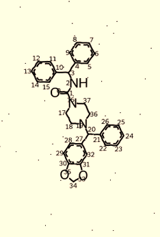 O=C(NC(c1ccccc1)c1ccccc1)N1CCN(C(c2ccccc2)c2ccc3c(c2)OCO3)CC1